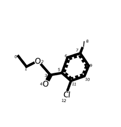 CCOC(=O)c1cc(I)ccc1Cl